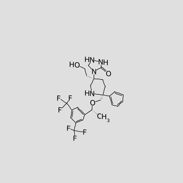 C[C@@H](OC[C@@]1(c2ccccc2)CC[C@](CCO)(N2CNNC2=O)CN1)c1cc(C(F)(F)F)cc(C(F)(F)F)c1